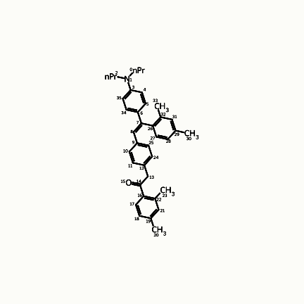 CCCN(CCC)c1ccc(C(=Cc2ccc(CC(=O)c3ccc(C)cc3C)cc2)c2ccc(C)cc2C)cc1